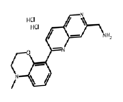 CN1CCOc2c(-c3ccc4cnc(CN)cc4n3)cccc21.Cl.Cl